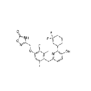 Cc1cc(OCc2noc(=O)[nH]2)c(F)c(C)c1Cc1ccc(O)c(C2CCCC(F)(F)C2)n1